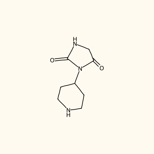 O=C1CNC(=O)N1C1CCNCC1